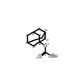 CC(C)(C)C(=O)OC12C[C]3CC(CC(C3)C1)C2